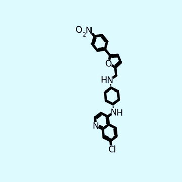 O=[N+]([O-])c1ccc(-c2ccc(CN[C@H]3CC[C@@H](Nc4ccnc5cc(Cl)ccc45)CC3)o2)cc1